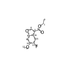 CCOC(=O)c1coc2cc(OC)c(F)cc12